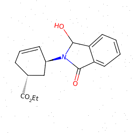 CCOC(=O)[C@@H]1CC=C[C@@H](N2C(=O)c3ccccc3C2O)C1